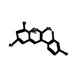 CCC1=CC(C(C)=O)=C/C(=C/C(=C(/C)CC)c2ccc(Br)cc2F)N1C